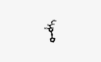 CC(C)(C)CNC(=O)c1ncc(C#Cc2ccccc2)cc1C#N